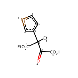 CCOC(=O)C(CC)(C(=O)C(=O)O)c1ccsc1